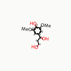 COc1cc(C(O)CCO)cc(OC)c1O